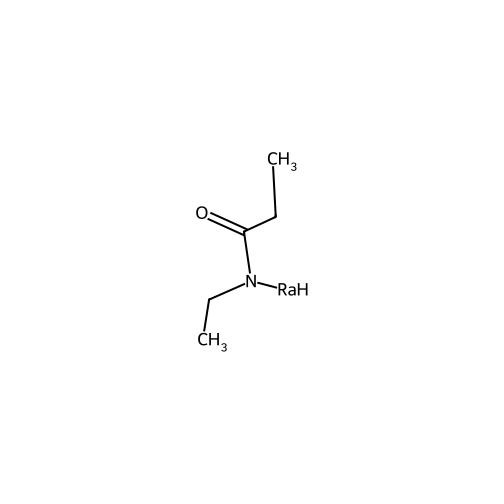 CCC(=O)[N]([RaH])CC